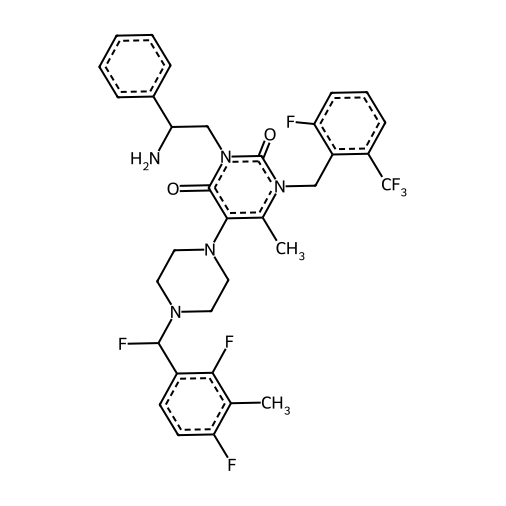 Cc1c(F)ccc(C(F)N2CCN(c3c(C)n(Cc4c(F)cccc4C(F)(F)F)c(=O)n(CC(N)c4ccccc4)c3=O)CC2)c1F